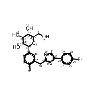 Cc1ccc([C@@H]2O[C@H](CO)[C@@H](O)[C@H](O)[C@H]2O)cc1Cc1ncc(-c2ccc(F)cc2)s1